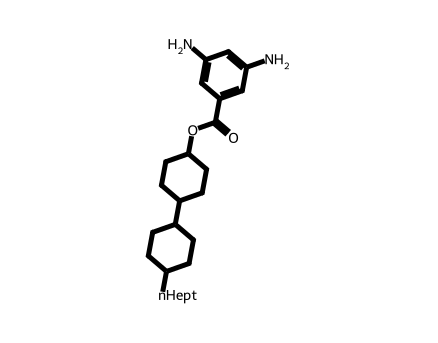 CCCCCCCC1CCC(C2CCC(OC(=O)c3cc(N)cc(N)c3)CC2)CC1